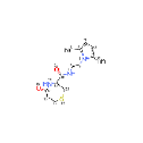 CCCc1ccc(C#N)n1CCNC(=O)C1CSCCC(=O)N1